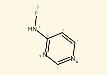 FNc1ccncn1